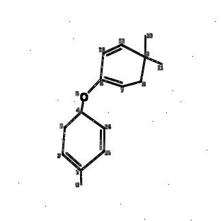 CC1=CCC(OC2=CCC(C)(C)C=C2)C=C1